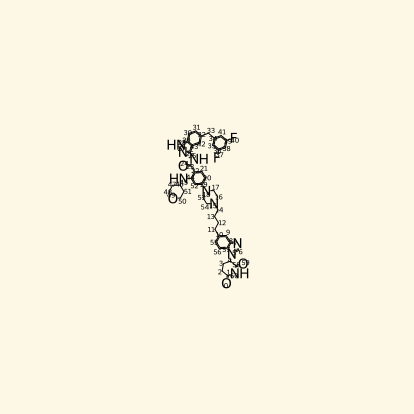 O=C1CCC(n2cnc3cc(CCCCN4CCN(c5ccc(C(=O)Nc6n[nH]c7ccc(Cc8cc(F)cc(F)c8)cc67)c(NC6CCOCC6)c5)CC4)ccc32)C(=O)N1